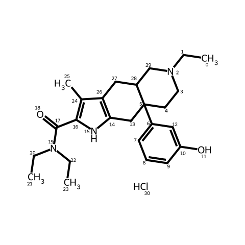 CCN1CCC2(c3cccc(O)c3)Cc3[nH]c(C(=O)N(CC)CC)c(C)c3CC2C1.Cl